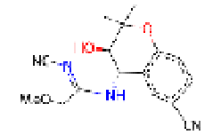 COCC(=NC#N)N[C@H]1c2cc(C#N)ccc2OC(C)(C)[C@@H]1O